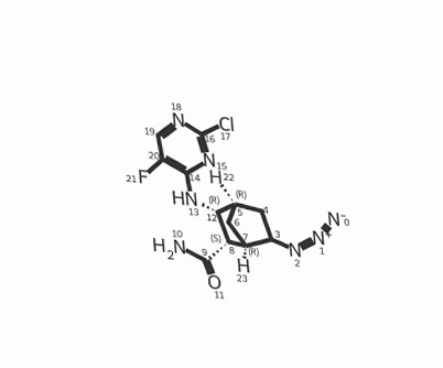 [N-]=[N+]=NC1C[C@H]2C[C@@H]1[C@H](C(N)=O)[C@@H]2Nc1nc(Cl)ncc1F